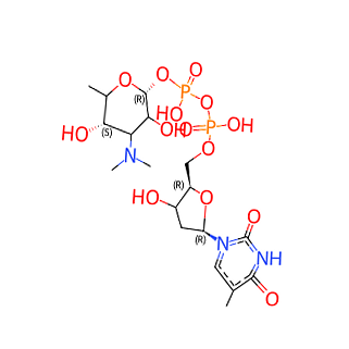 Cc1cn([C@H]2CC(O)[C@@H](COP(=O)(O)OP(=O)(O)O[C@H]3OC(C)[C@@H](O)C(N(C)C)C3O)O2)c(=O)[nH]c1=O